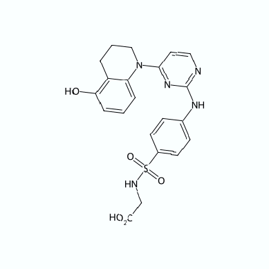 O=C(O)CNS(=O)(=O)c1ccc(Nc2nccc(N3CCCc4c(O)cccc43)n2)cc1